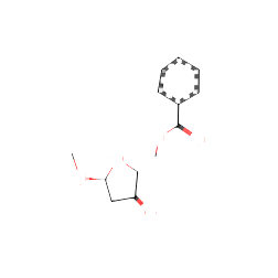 CO[C@@H]1CC(=O)[C@@H](COC(=O)c2ccccc2)O1